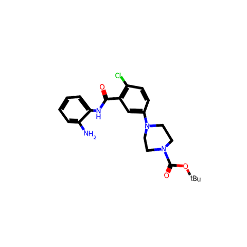 CC(C)(C)OC(=O)N1CCN(c2ccc(Cl)c(C(=O)Nc3ccccc3N)c2)CC1